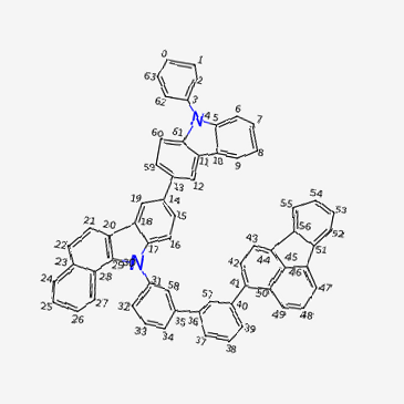 c1ccc(-n2c3ccccc3c3cc(-c4ccc5c(c4)c4ccc6ccccc6c4n5-c4cccc(-c5cccc(-c6ccc7c8c(cccc68)-c6ccccc6-7)c5)c4)ccc32)cc1